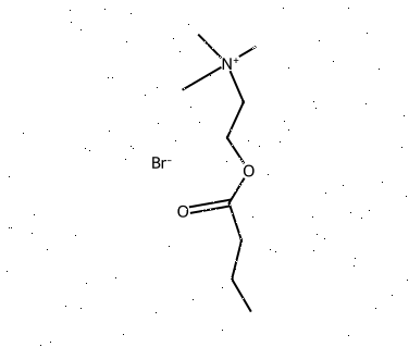 CCCC(=O)OCC[N+](C)(C)C.[Br-]